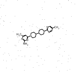 Cc1cnc(N2CCC(C3CCN(c4cc(C)nc(N)n4)CC3)CC2)nc1